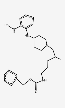 CCNc1ccccc1NC1CCN(CC(C)CCCNC(=O)OCc2ccccc2)CC1